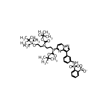 CC(C)(C)OC(=O)N(CCO[Si](C)(C)C(C)(C)C)CCN(C(=O)OC(C)(C)C)c1ccn2ncc(-c3cccc(NS(=O)(=O)c4ccccc4[N+](=O)[O-])c3)c2n1